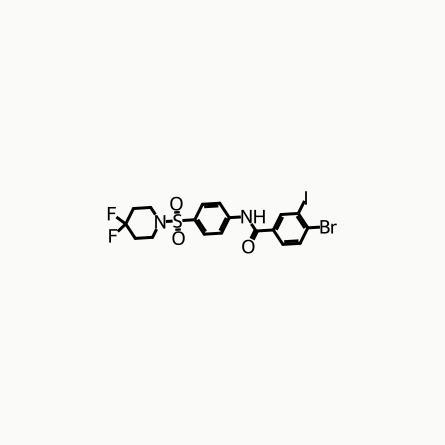 O=C(Nc1ccc(S(=O)(=O)N2CCC(F)(F)CC2)cc1)c1ccc(Br)c(I)c1